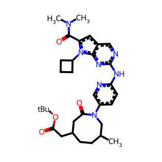 CC1CCC(CC(=O)OC(C)(C)C)CC(=O)N(c2ccc(Nc3ncc4cc(C(=O)N(C)C)n(C5CCC5)c4n3)nc2)C1